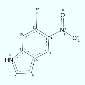 O=[N+]([O-])c1cc2cc[nH]c2cc1F